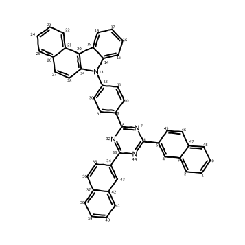 c1ccc2cc(-c3nc(-c4ccc(-n5c6ccccc6c6c7ccccc7ccc65)cc4)nc(-c4ccc5ccccc5c4)n3)ccc2c1